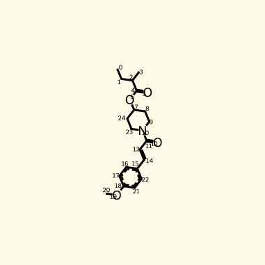 CCC(C)C(=O)OC1CCN(C(=O)/C=C/c2ccc(OC)cc2)CC1